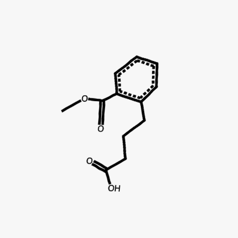 COC(=O)c1ccccc1CCCC(=O)O